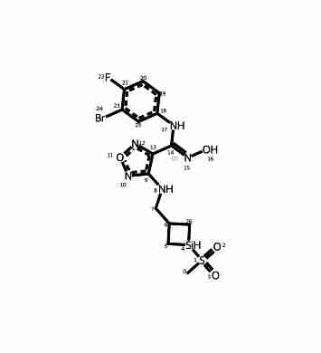 CS(=O)(=O)[SiH]1CC(CNc2nonc2/C(=N/O)Nc2ccc(F)c(Br)c2)C1